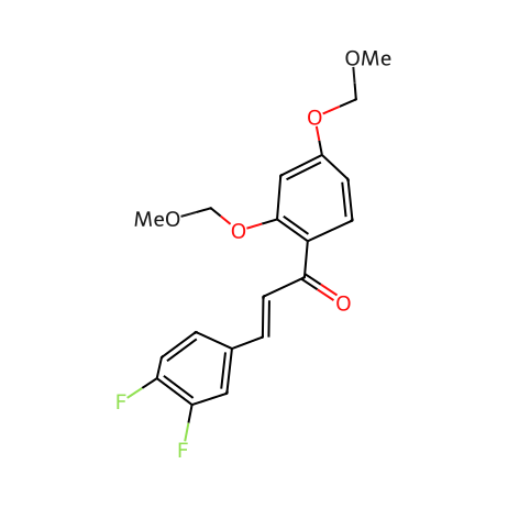 COCOc1ccc(C(=O)/C=C/c2ccc(F)c(F)c2)c(OCOC)c1